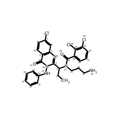 CCC(c1nc2cc(Cl)ccc2c(=O)n1Nc1ccccc1)N(CCCN)C(=O)c1cccc(Cl)c1Cl